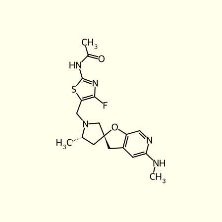 CNc1cc2c(cn1)O[C@]1(C2)C[C@H](C)N(Cc2sc(NC(C)=O)nc2F)C1